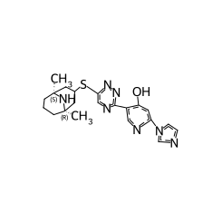 C[C@]12CCC[C@](C)(CC(Sc3cnc(-c4cnc(-n5ccnc5)cc4O)nn3)C1)N2